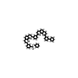 O=C(Oc1ccccc1)c1cccc(-c2ccc3ccc4ccc(-c5cccc(-c6ccc7ccc8ccc(-c9cccc(-c%10ccccc%10)c9)nc8c7n6)c5)nc4c3n2)c1